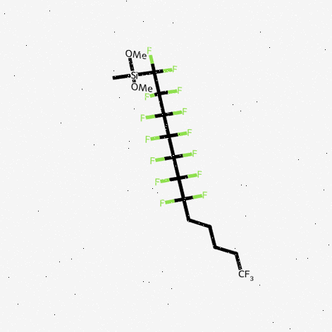 CO[Si](C)(OC)C(F)(F)C(F)(F)C(F)(F)C(F)(F)C(F)(F)C(F)(F)C(F)(F)CCCCC(F)(F)F